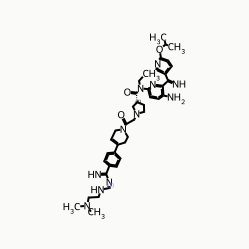 CCN(C(=O)[C@@H]1CCN(CC(=O)N2CC=C(c3ccc(C(=N)/N=C\NCCN(C)C)cc3)CC2)C1)c1ccc(N)c(C(=N)c2ccc(OC(C)C)nc2)n1